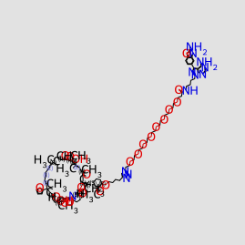 CO[C@@H]1C[C@H](C[C@@H](C)[C@@H]2CC(=O)[C@H](C)/C=C(\C)[C@@H](O)[C@@H](OC)C(=O)[C@H](C)C[C@H](C)/C=C/C=C/C=C(\C)C(c3ccco3)C[C@@H]3CC[C@@H](C)[C@@](O)(O3)C(=O)C(=O)N3CCCC[C@H]3C(=O)O2)CC[C@H]1OCCCCc1cn(CCOCCOCCOCCOCCOCCOCCOCCOCCC(=O)NCCCCn2nc(-c3ccc4oc(N)nc4c3)c3c(N)ncnc32)nn1